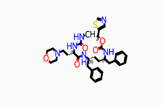 CNC(=O)N[C@@H](CCN1CCOCC1)C(=O)N[C@H](CC[C@H](Cc1ccccc1)NC(=O)OCc1cncs1)Cc1ccccc1